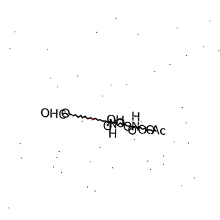 CC(=O)COCCOCCNC(=O)COCCOCCNC(O)C(=O)CCCCCCCCCCCCCCCCOC=O